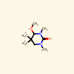 COC1N(C)C(=O)N(C)CC1(C)C